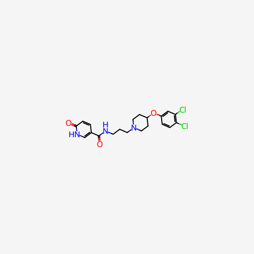 O=C(NCCCN1CCC(Oc2ccc(Cl)c(Cl)c2)CC1)c1ccc(=O)[nH]c1